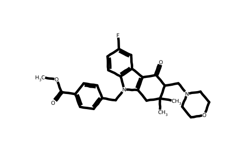 COC(=O)c1ccc(Cn2c3c(c4cc(F)ccc42)C(=O)C(CN2CCOCC2)C(C)(C)C3)cc1